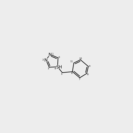 C1=NN=C[SH]1Cc1ccccc1